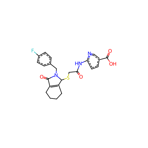 O=C(CSC1C2=C(CCCC2)C(=O)N1Cc1ccc(F)cc1)Nc1ccc(C(=O)O)cn1